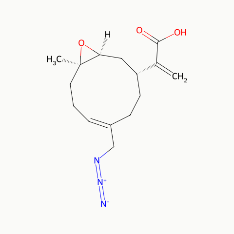 C=C(C(=O)O)[C@@H]1CC/C(CN=[N+]=[N-])=C\CC[C@@]2(C)O[C@H]2C1